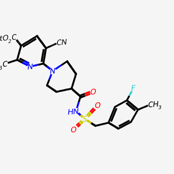 CCOC(=O)c1cc(C#N)c(N2CCC(C(=O)NS(=O)(=O)Cc3ccc(C)c(F)c3)CC2)nc1C